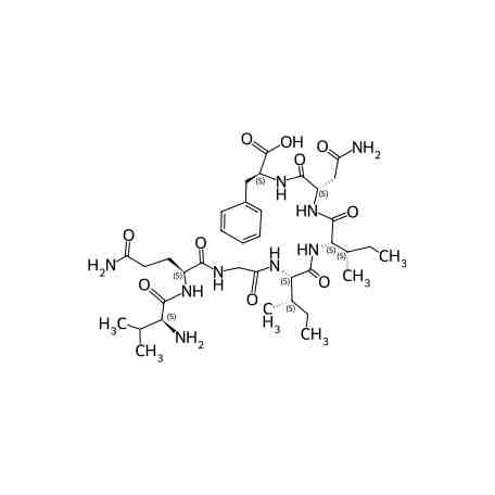 CC[C@H](C)[C@H](NC(=O)CNC(=O)[C@H](CCC(N)=O)NC(=O)[C@@H](N)C(C)C)C(=O)N[C@H](C(=O)N[C@@H](CC(N)=O)C(=O)N[C@@H](Cc1ccccc1)C(=O)O)[C@@H](C)CC